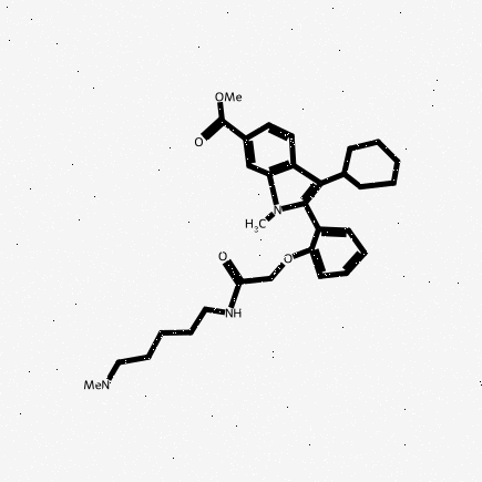 CNCCCCCNC(=O)COc1ccccc1-c1c(C2CCCCC2)c2ccc(C(=O)OC)cc2n1C